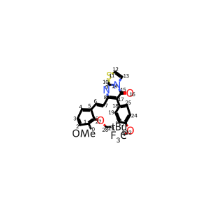 COc1cccc(C=Cc2nc3sccn3c(=O)c2-c2ccc(OC(F)(F)F)cc2)c1OCC(C)(C)C